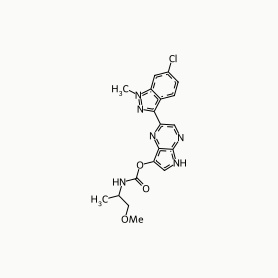 COCC(C)NC(=O)Oc1c[nH]c2ncc(-c3nn(C)c4cc(Cl)ccc34)nc12